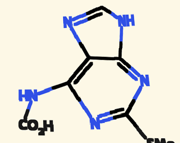 CSc1nc(NC(=O)O)c2nc[nH]c2n1